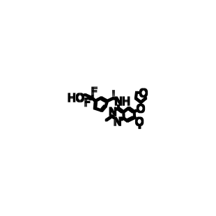 COc1cc2nc(C)nc(N[C@H](C)c3cccc(C(F)(F)CO)c3)c2cc1O[C@H]1CCOC1